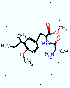 CCC(C)c1cc(C[C@H](NC(=O)[C@H](C)N)C(=O)OC)ccc1OC